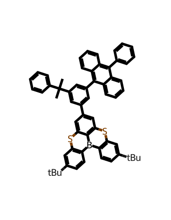 CC(C)(C)c1ccc2c(c1)Sc1cc(-c3cc(-c4c5ccccc5c(-c5ccccc5)c5ccccc45)cc(C(C)(C)c4ccccc4)c3)cc3c1B2c1ccc(C(C)(C)C)cc1S3